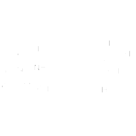 CO[Si](NCCC=C(C)CC(C)(C)C)(OC)OC